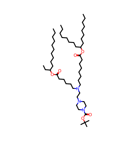 CCCCCCCCCCC(CC)OC(=O)CCCCCN(CCCCCCCC(=O)OC(CCCCCCCC)CCCCCCCC)CCN1CCN(C(=O)OC(C)(C)C)CC1